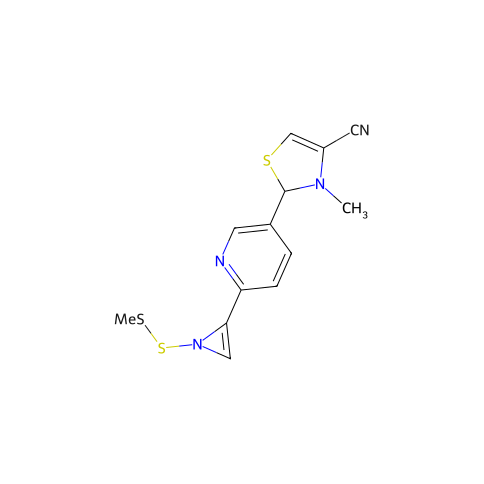 CSSN1C=C1c1ccc(C2SC=C(C#N)N2C)cn1